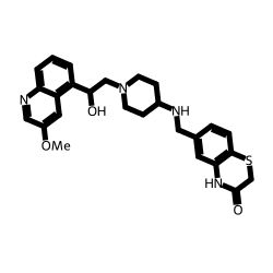 COc1cnc2cccc(C(O)CN3CCC(NCc4ccc5c(c4)NC(=O)CS5)CC3)c2c1